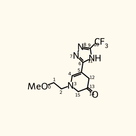 COCCN1C=C(c2nnc(C(F)(F)F)[nH]2)CC(=O)C1